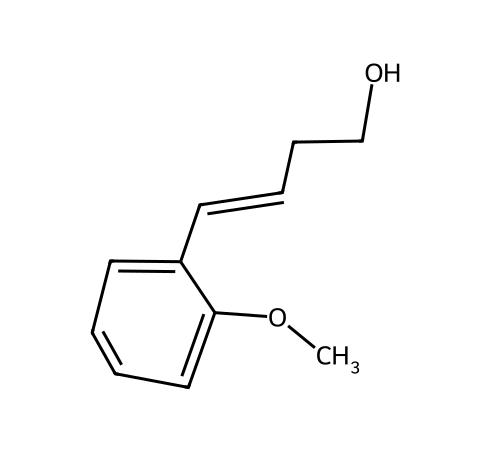 COc1ccccc1C=CCCO